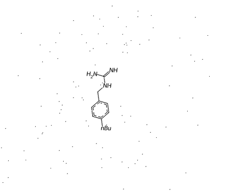 CCCCc1ccc(CNC(=N)N)cc1